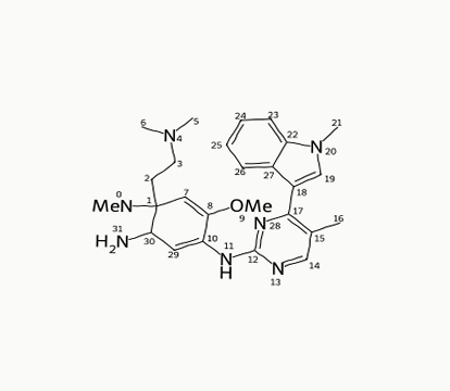 CNC1(CCN(C)C)C=C(OC)C(Nc2ncc(C)c(-c3cn(C)c4ccccc34)n2)=CC1N